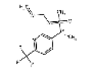 C=NCN=S(C)(=O)[C@H](C)c1ccc(C(F)(F)F)nc1